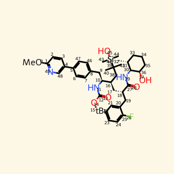 COc1ccc(-c2ccc(C[C@H](NC(=O)OC(C)(C)C)[C@H](C[C@@H](Cc3ccccc3F)C(=O)N[C@H]3[C@H](C)CCC[C@H]3O)CC(C)(C)[Si](C)(C)O)cc2)cn1